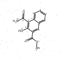 CCCOC(=O)c1cc2ccccc2c(C(N)=O)c1O